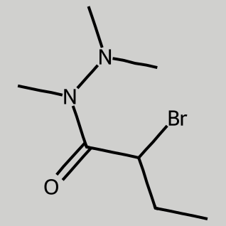 CCC(Br)C(=O)N(C)N(C)C